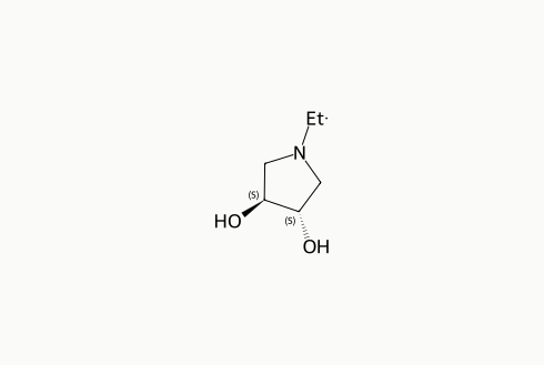 C[CH]N1C[C@H](O)[C@@H](O)C1